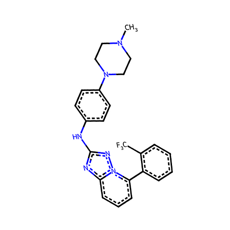 CN1CCN(c2ccc(Nc3nc4cccc(-c5ccccc5C(F)(F)F)n4n3)cc2)CC1